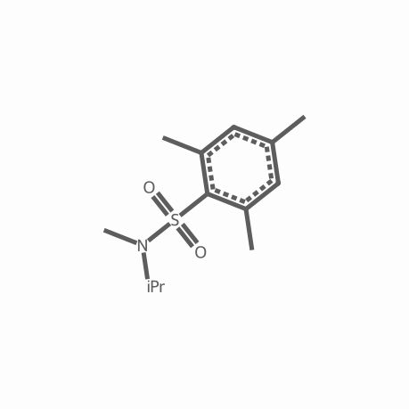 [CH2]C(C)N(C)S(=O)(=O)c1c(C)cc(C)cc1C